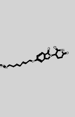 [N-]=[N+]=NCCCCCCCOc1ccc2c(c1)CN(C1CCC(=O)NC1=O)C2=O